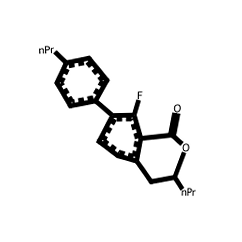 CCCc1ccc(-c2ccc3c(c2F)C(=O)OC(CCC)C3)cc1